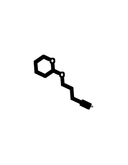 [C]#CCCCOC1CCCCO1